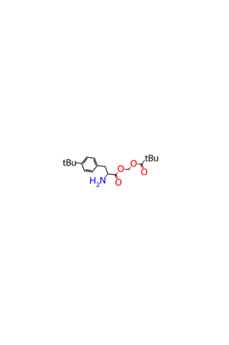 CC(C)(C)C(=O)OCOC(=O)C(N)Cc1ccc(C(C)(C)C)cc1